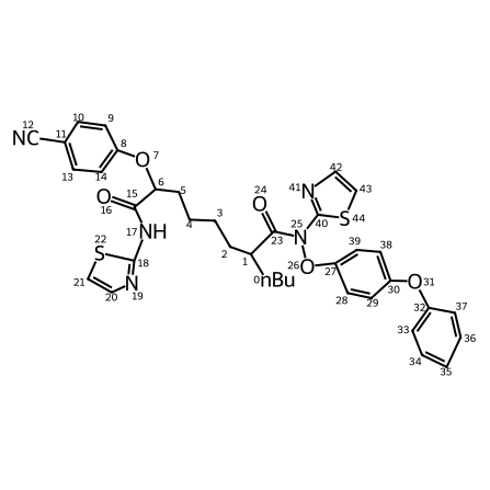 CCCCC(CCCCC(Oc1ccc(C#N)cc1)C(=O)Nc1nccs1)C(=O)N(Oc1ccc(Oc2ccccc2)cc1)c1nccs1